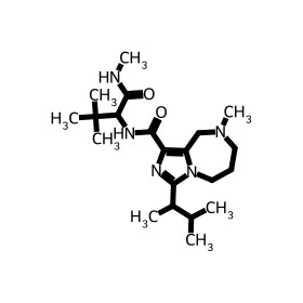 CNC(=O)C(NC(=O)c1nc(C(C)C(C)C)n2c1CN(C)CCC2)C(C)(C)C